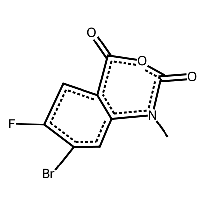 Cn1c(=O)oc(=O)c2cc(F)c(Br)cc21